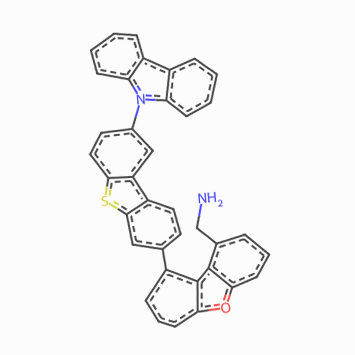 NCc1cccc2oc3cccc(-c4ccc5c(c4)sc4ccc(-n6c7ccccc7c7ccccc76)cc45)c3c12